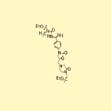 CCOC(=O)CN1CCN(CC2CN(c3ccc(C(=N)NC(=O)N(C)C(=O)OCC)cc3)C(=O)O2)CC1=O